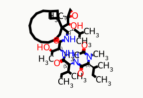 CCC(C)[C@H](NC(=O)[C@H](C(C)CC)N(C)C(C)=O)C(=O)N[C@H](C(=O)N[C@@H](CC(C)C)C1(C(O)[C@@]2(C)CO2)CCCCCCCCCCC2CC1C2)C(C)O